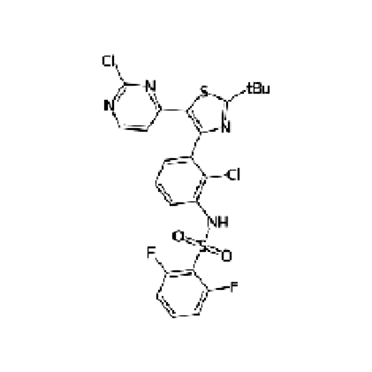 CC(C)(C)c1nc(-c2cccc(NS(=O)(=O)c3c(F)cccc3F)c2Cl)c(-c2ccnc(Cl)n2)s1